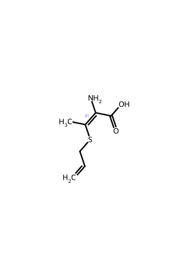 C=CCS/C(C)=C(/N)C(=O)O